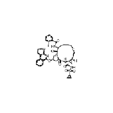 O=C(N[C@H]1CCCCC/C=C\[C@@H]2C[C@@]2(C(=O)NS(=O)(=O)C2CC2)NC(=O)[C@@H]2C[C@@H](Oc3nc4ncccc4c4ccccc34)CN2C1=O)c1ccccc1F